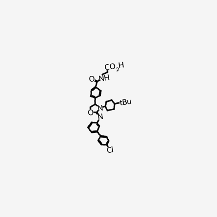 CC(C)(C)C1CCC(N2C(=Nc3cccc(-c4ccc(Cl)cc4)c3)OCC2c2ccc(C(=O)NCCC(=O)O)cc2)CC1